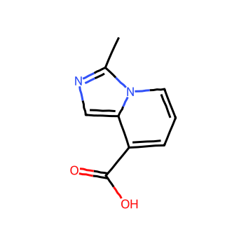 Cc1ncc2c(C(=O)O)cccn12